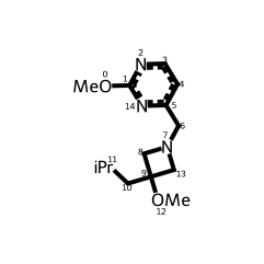 COc1nccc(CN2CC(CC(C)C)(OC)C2)n1